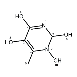 CC1=C(O)C(O)=NC(O)N1O